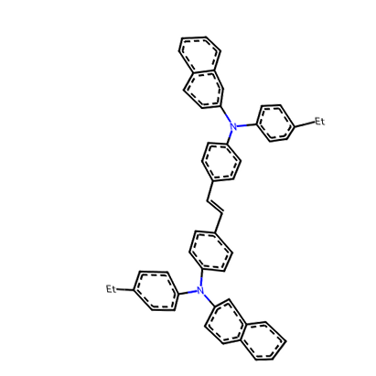 CCc1ccc(N(c2ccc(/C=C/c3ccc(N(c4ccc(CC)cc4)c4ccc5ccccc5c4)cc3)cc2)c2ccc3ccccc3c2)cc1